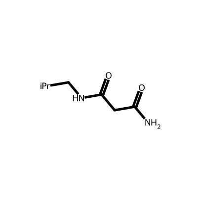 CC(C)CNC(=O)CC(N)=O